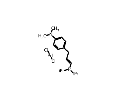 CC(C)P(C=CCc1ccc(N(C)C)cc1)C(C)C.[Cl][Pd][Cl]